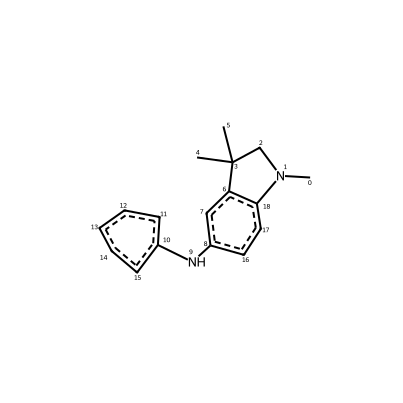 CN1CC(C)(C)c2cc(Nc3ccccc3)ccc21